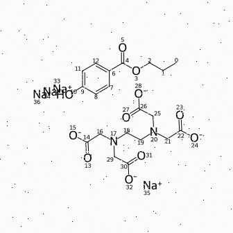 CCCOC(=O)c1ccc(O)cc1.O=C([O-])CN(CCN(CC(=O)[O-])CC(=O)[O-])CC(=O)[O-].[Na+].[Na+].[Na+].[Na+]